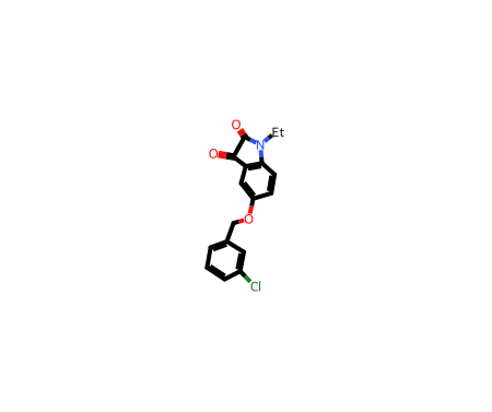 CCN1C(=O)C(=O)c2cc(OCc3cccc(Cl)c3)ccc21